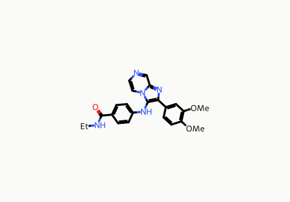 CCNC(=O)c1ccc(Nc2c(-c3ccc(OC)c(OC)c3)nc3cnccn23)cc1